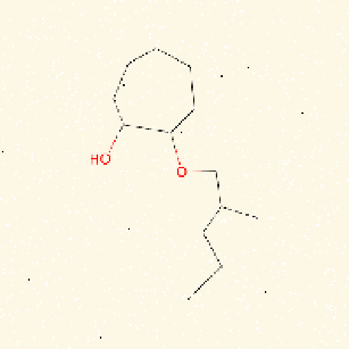 CCCC(C)COC1CCCCCC1O